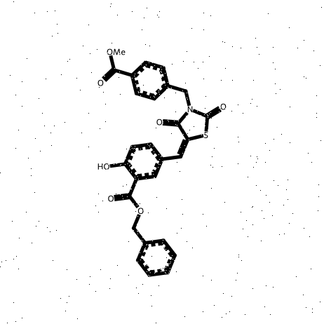 COC(=O)c1ccc(CN2C(=O)S/C(=C/c3ccc(O)c(C(=O)OCc4ccccc4)c3)C2=O)cc1